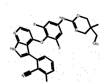 CC1(CO)CN=C(Nc2cc(F)c(Oc3ccnc4[nH]cc(-c5cccc(O)c5C#N)c34)c(F)c2)OC1